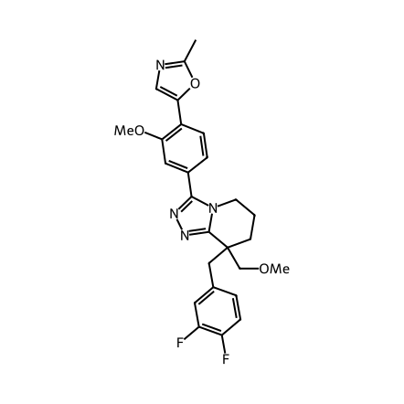 COCC1(Cc2ccc(F)c(F)c2)CCCn2c(-c3ccc(-c4cnc(C)o4)c(OC)c3)nnc21